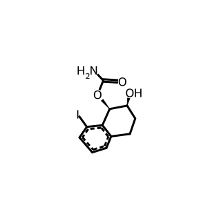 NC(=O)O[C@@H]1c2c(I)cccc2CC[C@@H]1O